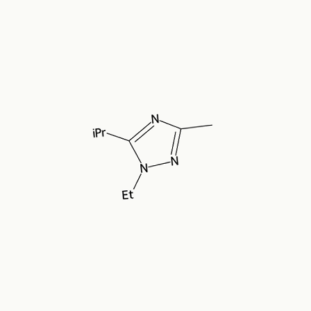 CCn1nc(C)nc1C(C)C